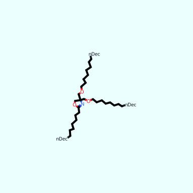 CCCCCCCCCCCCCCCCCCOCC1(COCCCCCCCCCCCCCCCCCC)COC(CCCCCCCCCCCCCCCCC)=N1